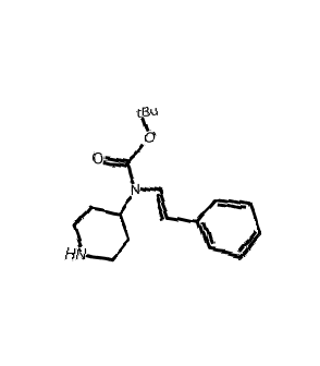 CC(C)(C)OC(=O)N(C=Cc1ccccc1)C1CCNCC1